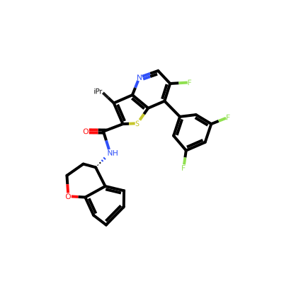 CC(C)c1c(C(=O)N[C@H]2CCOc3ccccc32)sc2c(-c3cc(F)cc(F)c3)c(F)cnc12